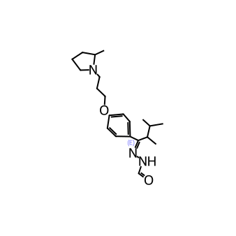 CC(C)C(C)/C(=N\NC=O)c1ccc(OCCCN2CCCC2C)cc1